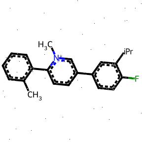 Cc1ccccc1-c1ccc(-c2ccc(F)c(C(C)C)c2)c[n+]1C